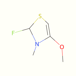 COC1=CSC(F)N1C